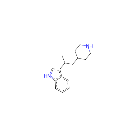 CC(CC1CCNCC1)c1c[nH]c2ccccc12